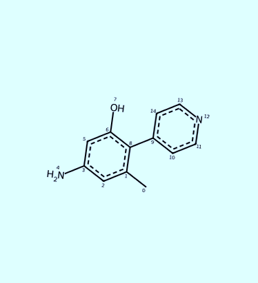 Cc1cc(N)cc(O)c1-c1ccncc1